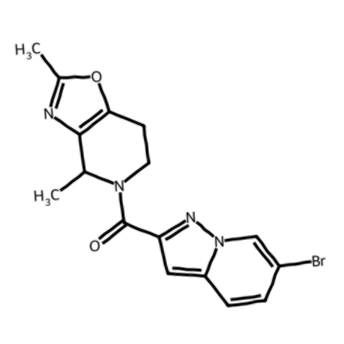 Cc1nc2c(o1)CCN(C(=O)c1cc3ccc(Br)cn3n1)C2C